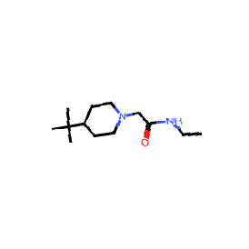 CCNC(=O)CN1CCC(C(C)(C)C)CC1